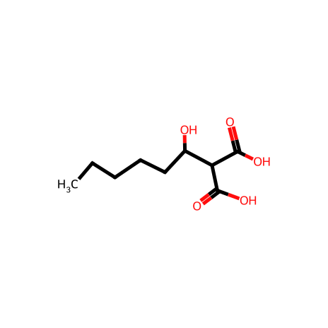 CCCCCC(O)C(C(=O)O)C(=O)O